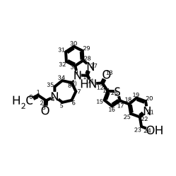 C=CC(=O)N1CCC[C@@H](n2c(NC(=O)c3ccc(-c4ccnc(CO)c4)s3)nc3ccccc32)CC1